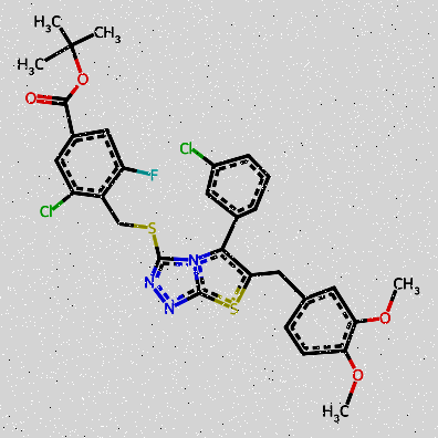 COc1ccc(Cc2sc3nnc(SCc4c(F)cc(C(=O)OC(C)(C)C)cc4Cl)n3c2-c2cccc(Cl)c2)cc1OC